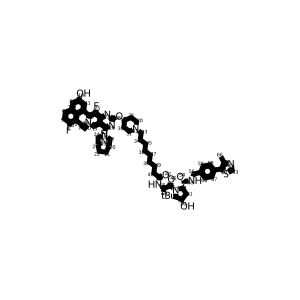 C#Cc1c(F)ccc2cc(O)cc(-c3ncc4c(N5CC6CCC(C5)N6)nc(OC5CCN(CCCCCCCCC(=O)NC(C(=O)N6C[C@H](O)C[C@H]6C(=O)NCc6ccc(-c7scnc7C)cc6)C(C)(C)C)CC5)nc4c3F)c12